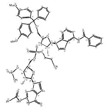 COc1ccc(C(OC[C@H]2O[C@@H](n3cnc4c(NC(=O)c5ccccc5)ncnc43)[C@H](F)[C@@H]2OP(=O)(OCCC#N)OC[C@H]2O[C@@H](n3cnc4c(=O)[nH]c(NC(=O)C(C)C)nc43)[C@H](F)[C@@H]2O[PH](=O)O)(c2ccccc2)c2ccc(OC)cc2)cc1